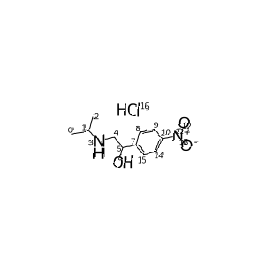 CC(C)NCC(O)c1ccc([N+](=O)[O-])cc1.Cl